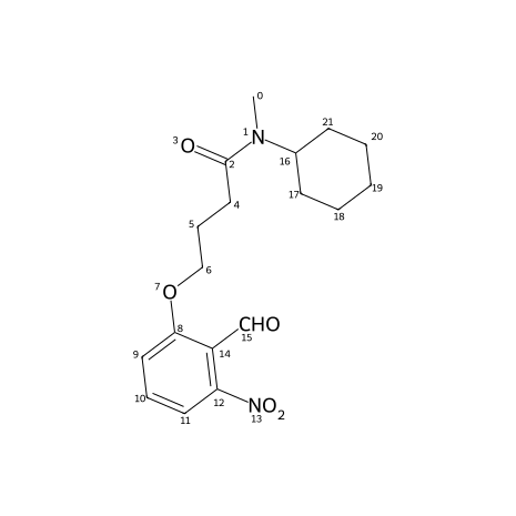 CN(C(=O)CCCOc1cccc([N+](=O)[O-])c1C=O)C1CCCCC1